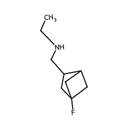 CCNCC1CC2(F)CC1C2